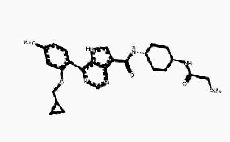 COCC(=O)N[C@H]1CC[C@H](NC(=O)c2c[nH]c3c(-c4ccc(OC)cc4OCC4CC4)ncnc23)CC1